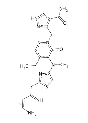 CCc1cnn(Cc2n[nH]cc2C(N)=O)c(=O)c1N(C)c1csc(CC(=N)/C=C\N)n1